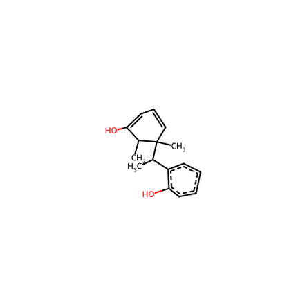 CC1C(O)=CC=CC1(C)C(C)c1ccccc1O